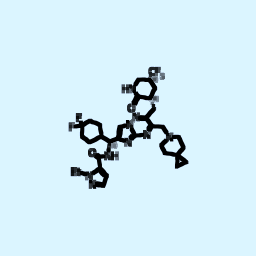 CCn1nccc1C(=O)N[C@H](c1cn2nc(C[C@H]3C[C@@H](C(F)(F)F)CNC3=O)c(CN3CCC4(CC3)CC4)nc2n1)C1CCC(F)(F)CC1